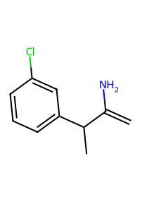 C=C(N)C(C)c1cccc(Cl)c1